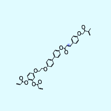 C=CC(=O)Oc1ccc(OCCOc2ccc(-c3ccc(OC(=O)/C=C/c4ccc(OCC(=O)C(=C)C)cc4)cc3)cc2)cc1OC(=O)C=C